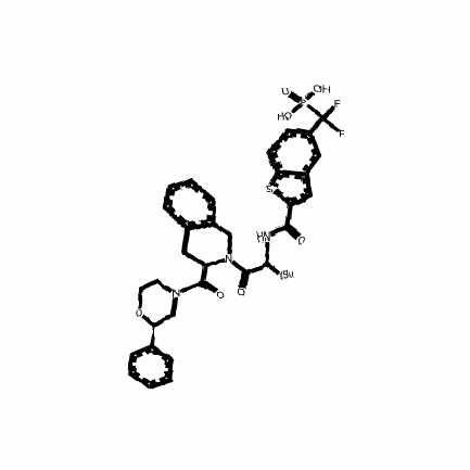 CC(C)(C)C(NC(=O)c1cc2cc(C(F)(F)P(=O)(O)O)ccc2s1)C(=O)N1Cc2ccccc2CC1C(=O)N1CCO[C@H](c2ccccc2)C1